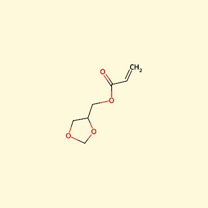 C=CC(=O)OCC1COCO1